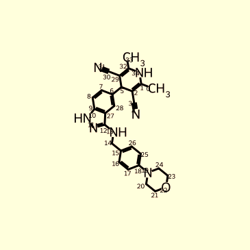 CC1=C(C#N)C(c2ccc3[nH]nc(NCc4ccc(N5CCOCC5)cc4)c3c2)C(C#N)=C(C)N1